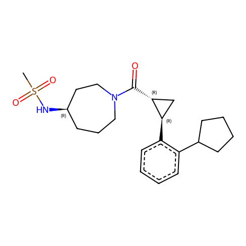 CS(=O)(=O)N[C@@H]1CCCN(C(=O)[C@@H]2C[C@H]2c2ccccc2C2CCCC2)CC1